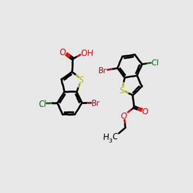 CCOC(=O)c1cc2c(Cl)ccc(Br)c2s1.O=C(O)c1cc2c(Cl)ccc(Br)c2s1